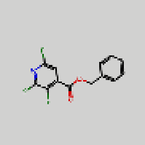 O=C(OCc1ccccc1)c1cc(F)nc(F)c1F